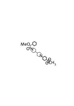 COC(C(=O)N1CCC(C2CCN(c3ccc(S(C)(=O)=O)cc3)CC2)CC1)c1ccccc1